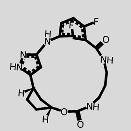 O=C1NCCCNC(=O)c2c(F)ccc(c2F)Nc2cc([nH]n2)[C@H]2CC[C@H](C2)O1